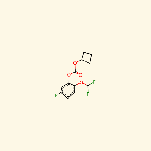 O=C(Oc1cc(F)ccc1OC(F)F)OC1CCC1